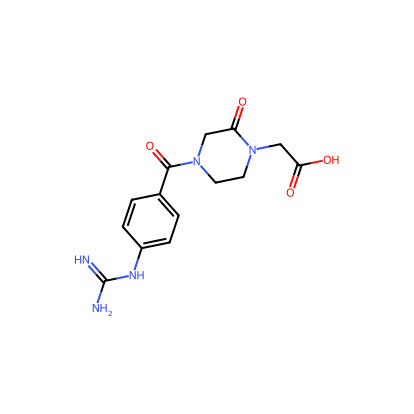 N=C(N)Nc1ccc(C(=O)N2CCN(CC(=O)O)C(=O)C2)cc1